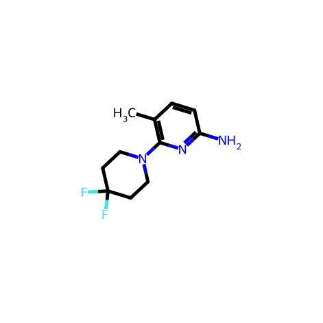 Cc1ccc(N)nc1N1CCC(F)(F)CC1